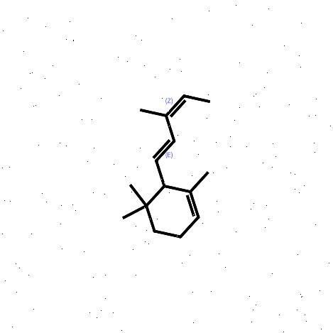 C/C=C(C)\C=C\C1C(C)=CCCC1(C)C